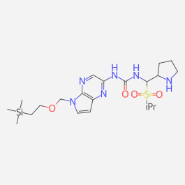 CC(C)S(=O)(=O)C(NC(=O)Nc1cnc2c(ccn2COCC[Si](C)(C)C)n1)C1CCCN1